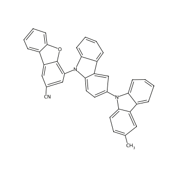 Cc1ccc2c(c1)c1ccccc1n2-c1ccc2c(c1)c1ccccc1n2-c1cc(C#N)cc2c1oc1ccccc12